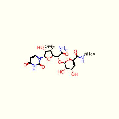 CCCCCCNC(=O)C1=C[C@H](O)[C@H](O)[C@@H](O[C@@H](C(N)=O)[C@H]2O[C@@H](n3ccc(=O)[nH]c3=O)[C@H](O)[C@@H]2OC)O1